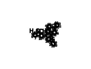 CC1(C)c2ccccc2-c2ccc([C@@H](C3=Cc4sc5ccccc5c4CC3)c3cccc4c3[nH]c3cccc(N(c5ccccc5)c5ccccc5)c34)cc21